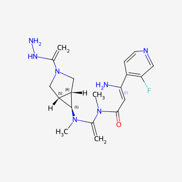 C=C(NN)N1C[C@@H]2[C@H](C1)[C@H]2N(C)C(=C)N(C)C(=O)/C=C(\N)c1ccncc1F